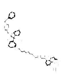 O=C(OCC1CCN(Cc2ccccc2)CC1)C(O)(c1ccccc1)c1cccc(OCCCCCCCCNC[C@H](O)c2ccc(O)c3[nH]c(=O)ccc23)c1